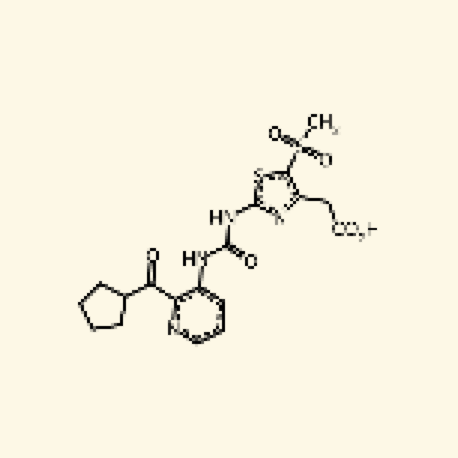 CS(=O)(=O)c1sc(NC(=O)Nc2cccnc2C(=O)C2CCCC2)nc1CC(=O)O